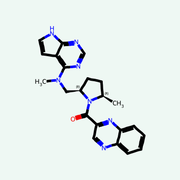 C[C@@H]1CC[C@H](CN(C)c2ncnc3[nH]ccc23)N1C(=O)c1cnc2ccccc2n1